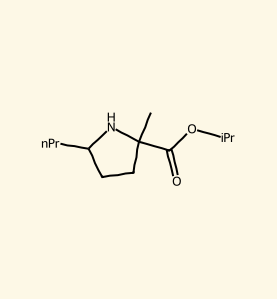 CCCC1CCC(C)(C(=O)OC(C)C)N1